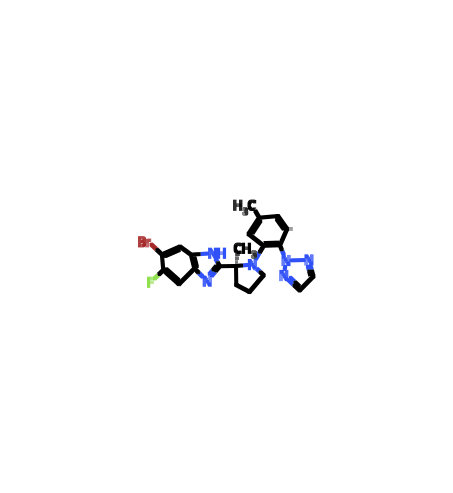 Cc1c[c]c(-n2nccn2)c(N2CCC[C@@]2(C)c2nc3cc(F)c(Br)cc3[nH]2)c1